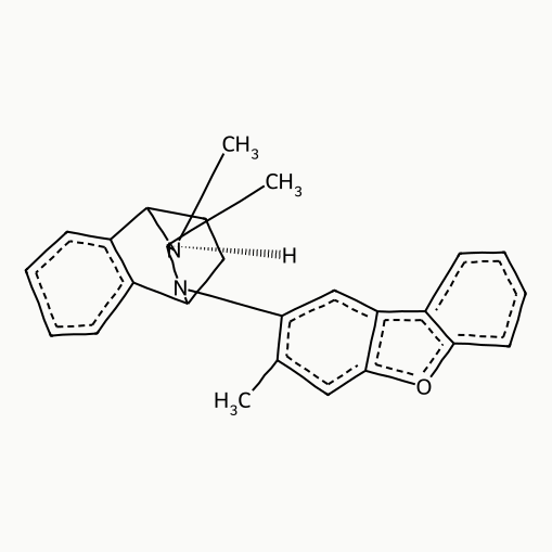 Cc1cc2oc3ccccc3c2cc1N1C2CCC(c3ccccc32)N(C)[C@@H]1C